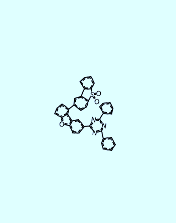 O=S1(=O)c2ccccc2-c2cc(-c3cccc4oc5ccc(-c6nc(-c7ccccc7)nc(-c7ccccc7)n6)cc5c34)ccc21